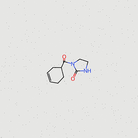 O=C1NCCN1C(=O)C1CC=CCC1